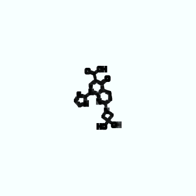 O=C(O)c1cn(-c2nccs2)c2nc(N3CC(O)(O)C3)ccc2c1=O